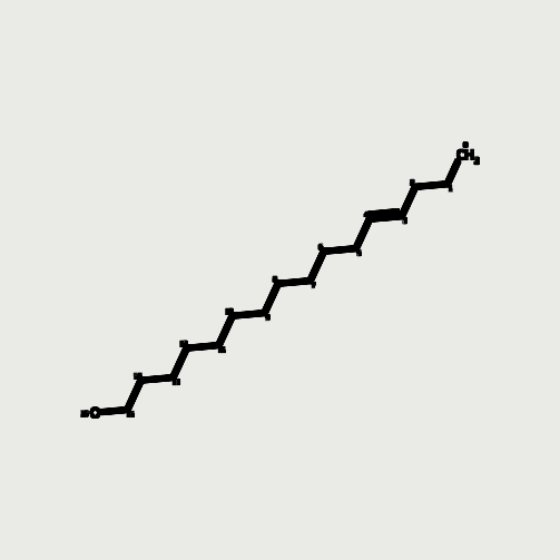 CCCC=CCCCCCCCCCCC[O]